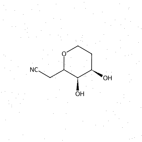 N#CCC1OCC[C@@H](O)[C@H]1O